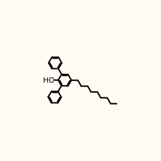 CCCCCCCCCc1cc(-c2ccccc2)c(O)c(-c2ccccc2)c1